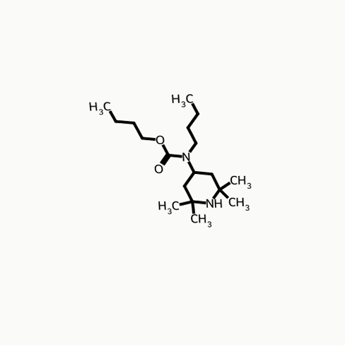 CCCCOC(=O)N(CCCC)C1CC(C)(C)NC(C)(C)C1